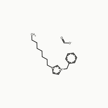 CCCCCCCCn1cc[n+](Cc2ccccc2)c1.O=C[O-]